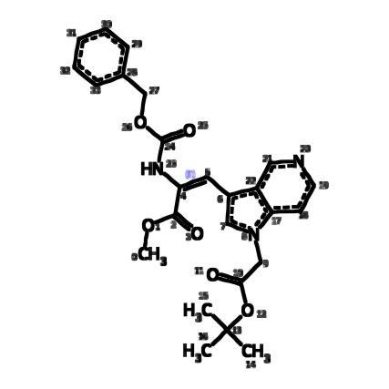 COC(=O)/C(=C\c1cn(CC(=O)OC(C)(C)C)c2ccncc12)NC(=O)OCc1ccccc1